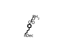 CCCCCCCCCCCCCCc1ccc(OC(=O)COP)cc1